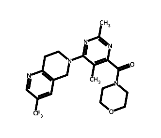 Cc1nc(C(=O)N2CCOCC2)c(C)c(N2CCc3ncc(C(F)(F)F)cc3C2)n1